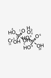 O.O=P(O)(O)O.O=P(O)(O)O.[Cr]